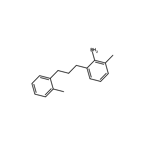 Bc1c(C)cccc1CCCc1ccccc1C